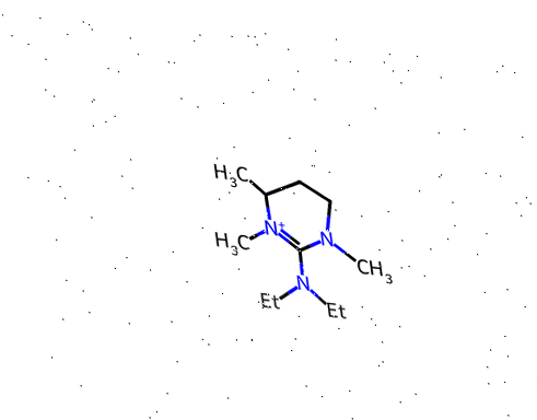 CCN(CC)C1=[N+](C)C(C)CCN1C